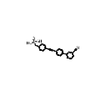 N#Cc1cc[c]c(-c2ccc(C#Cc3ccc(CP(=O)(O)S)cc3)cc2)c1